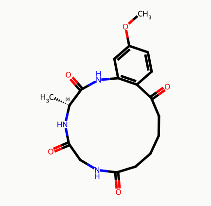 COc1ccc2c(c1)NC(=O)[C@@H](C)NC(=O)CNC(=O)CCCCC2=O